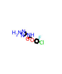 Nc1ncc(NC(=O)COc2ccc(Cl)c(F)c2)cn1